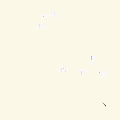 COc1nc(N[C@H]2C[C@@](C)(O)C2)nc2[nH]cc(-c3ccc4nnn(CC(F)F)c4c3)c12